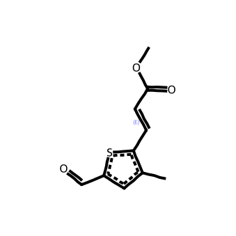 COC(=O)/C=C/c1sc(C=O)cc1C